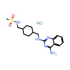 CS(=O)(=O)NCC1CCC(CNc2nc(N)c3ccccc3n2)CC1.Cl